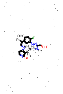 CCN(C=O)/C(CO)=N\N(C)c1cc(/C(=C\N(C)c2ccnc(O)c2C)C(C)C)c(C=O)cc1F